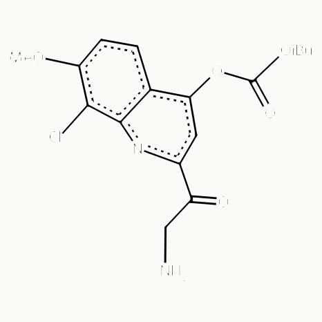 COc1ccc2c(OC(=O)OCC(C)C)cc(C(=O)CN)nc2c1Cl